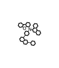 c1ccc(-c2ccc3cccc(-c4ccc(N(c5cc6ccccc6c6ccccc56)c5cccc6c5oc5ccccc56)cc4)c3c2)cc1